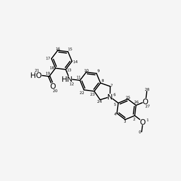 COc1ccc(N2Cc3ccc(Nc4ccccc4C(=O)O)cc3C2)cc1OC